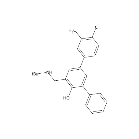 CC(C)(C)NCc1cc(-c2ccc(Cl)c(C(F)(F)F)c2)cc(-c2ccccc2)c1O